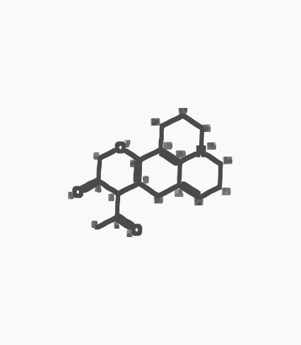 CC(=O)C1C(=O)COC2=C1CC1=CCCN3CCCC2=C13